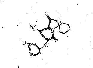 Cc1cc(Nc2cc(Cl)ncn2)c(=O)n2c1C(=O)NC21CCOCC1